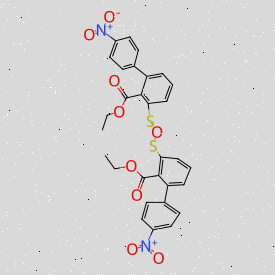 CCOC(=O)c1c(SOSc2cccc(-c3ccc([N+](=O)[O-])cc3)c2C(=O)OCC)cccc1-c1ccc([N+](=O)[O-])cc1